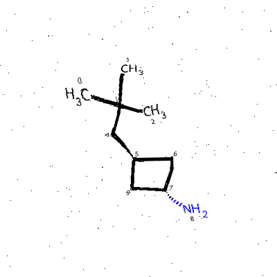 CC(C)(C)C[C@H]1C[C@H](N)C1